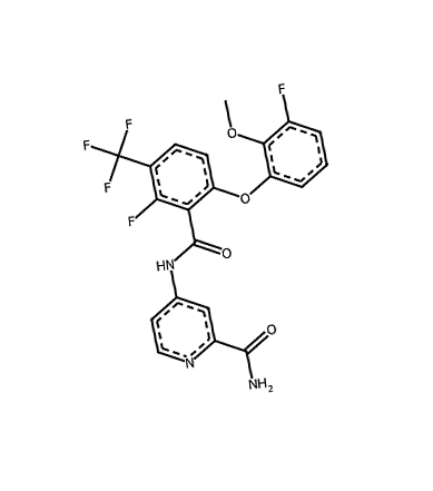 COc1c(F)cccc1Oc1ccc(C(F)(F)F)c(F)c1C(=O)Nc1ccnc(C(N)=O)c1